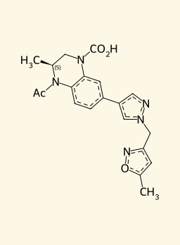 CC(=O)N1c2ccc(-c3cnn(Cc4cc(C)on4)c3)cc2N(C(=O)O)C[C@@H]1C